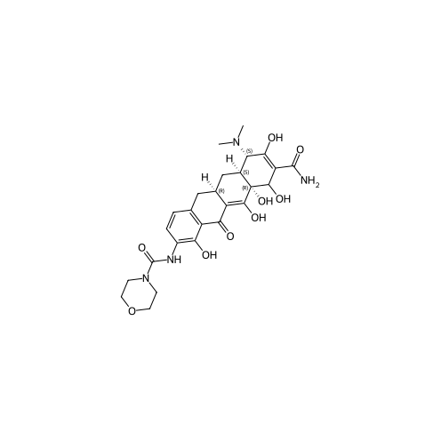 CN(C)[C@@H]1C(O)=C(C(N)=O)C(O)[C@@]2(O)C(O)=C3C(=O)c4c(ccc(NC(=O)N5CCOCC5)c4O)C[C@H]3C[C@@H]12